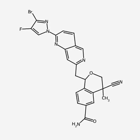 CC1(C#N)COC(Cc2cc3nc(-n4cc(F)c(Br)n4)ccc3cn2)c2ccc(C(N)=O)cc21